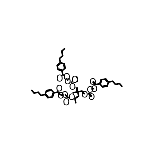 CCCCc1ccc(C(=O)OOC(=O)OCC(CCC)(COC(=O)OOC(=O)c2ccc(CCCC)cc2)COC(=O)OOC(=O)c2ccc(CCCC)cc2)cc1